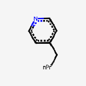 [CH]CCCc1ccncc1